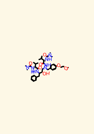 COCCOc1ccc(CN(CC(O)C(Cc2ccccc2)NC(=O)[C@@H](NC(=O)N(C)C)C(C)C)NC(=O)[C@@H](NC(=O)N(C)C)C(C)C)cc1